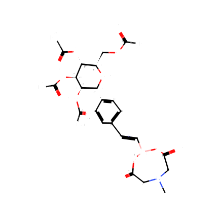 CN1CC(=O)OB(/C=C/c2ccc([C@H]3O[C@H](COC(=O)C(C)(C)C)[C@@H](OC(=O)C(C)(C)C)[C@H](OC(=O)C(C)(C)C)[C@@H]3OC(=O)C(C)(C)C)cc2)OC(=O)C1